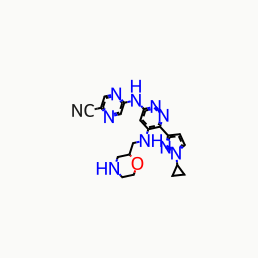 N#Cc1cnc(Nc2cc(NCC3CNCCO3)c(-c3ccn(C4CC4)n3)nn2)cn1